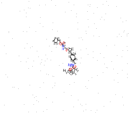 CC(C)(C)OC(=O)NCc1ccc(-c2cccc(OCCCNC(=O)OCc3ccccc3)c2)cc1